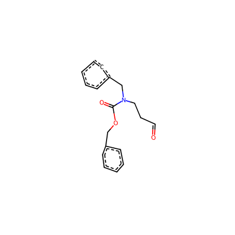 O=CCCN(Cc1ccccc1)C(=O)OCc1ccccc1